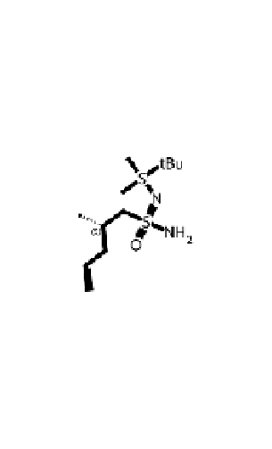 C=CC[C@H](C)CS(N)(=O)=NS(C)(C)C(C)(C)C